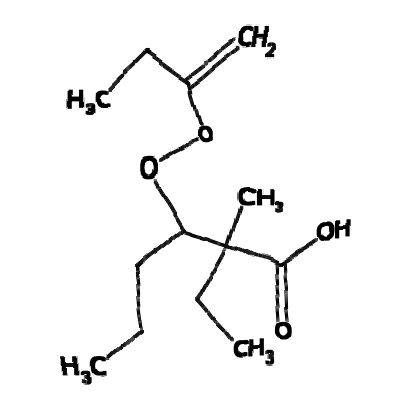 C=C(CC)OOC(CCC)C(C)(CC)C(=O)O